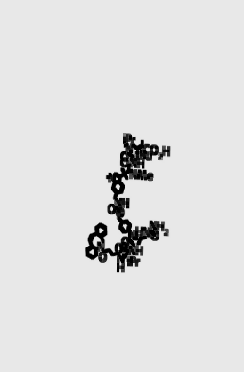 CN[C@@H](C(=O)N[C@H](C(=O)N(C)[C@H](/C=C(\C)C(=O)O)C(C)C)C(C)(C)C)C(C)(C)c1cn(C)c2cc(CNC(=O)OCc3ccc(NC(=O)[C@H](CCCNC(N)=O)NC(=O)[C@@H](NC(=O)CCC(=O)N4Cc5ccccc5C#Cc5ccccc54)C(C)C)cc3)ccc12